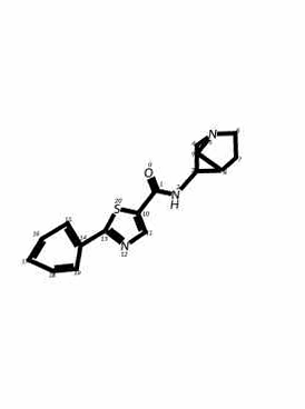 O=C(NC1CN2CCC1C2)c1cnc(-c2ccccc2)s1